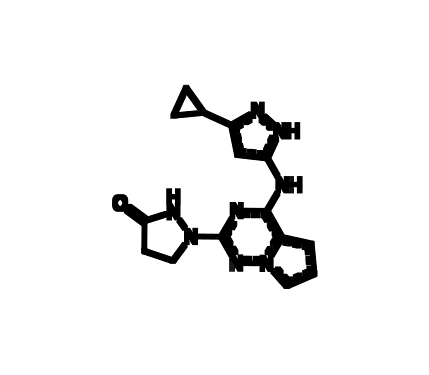 O=C1CCN(c2nc(Nc3cc(C4CC4)n[nH]3)c3cccn3n2)N1